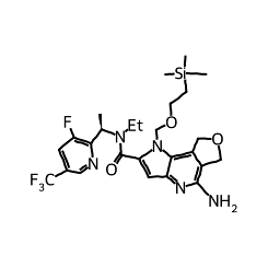 CCN(C(=O)c1cc2nc(N)c3c(c2n1COCC[Si](C)(C)C)COC3)[C@H](C)c1ncc(C(F)(F)F)cc1F